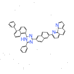 c1ccc(C2=NC(c3ccc4cc(-c5ccc6ccc7cccnc7c6n5)ccc4c3)=NC(c3cccc4c(-c5ccccc5)cccc34)N2)cc1